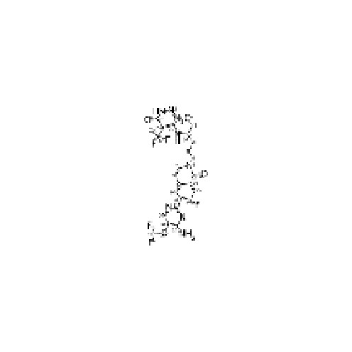 CC[C@@H](CCCn1ccc2cc(-c3ncc(OC(F)F)c(N)n3)c(F)cc2c1=O)Nc1cn[nH]c(=O)c1C(F)(F)F